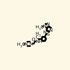 C[C@H](NC(=O)CN1CCN(C)CC1)c1cccc(-c2nc3c(ncc4ncn(C)c43)s2)c1